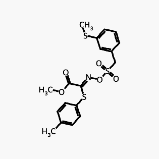 COC(=O)/C(=N/OS(=O)(=O)Cc1cccc(SC)c1)Sc1ccc(C)cc1